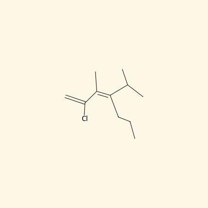 C=C(Cl)/C(C)=C(\CCC)C(C)C